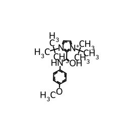 COc1ccc(NC(O)c2n(C(C)(C)C)cc[n+]2C(C)(C)C)cc1